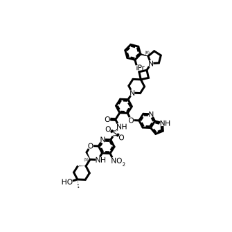 CC(C)c1ccccc1[C@H]1CCCN1C1CC2(CCN(c3ccc(C(=O)NS(=O)(=O)c4cc([N+](=O)[O-])c5c(n4)OC[C@H]([C@H]4CC[C@](C)(O)CC4)N5)c(Oc4cnc5[nH]ccc5c4)c3)CC2)C1